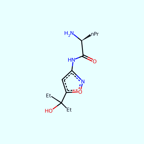 CCC[C@H](N)C(=O)Nc1cc(C(O)(CC)CC)on1